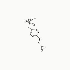 CNS(=O)(=O)Cc1ccc(OCC2CO2)cc1